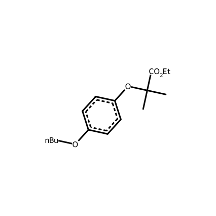 CCCCOc1ccc(OC(C)(C)C(=O)OCC)cc1